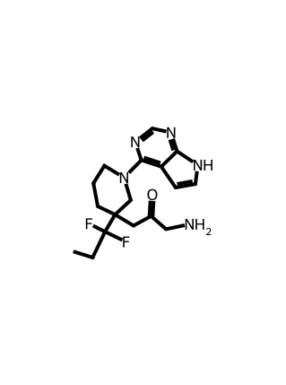 CCC(F)(F)C1(CC(=O)CN)CCCN(c2ncnc3[nH]ccc23)C1